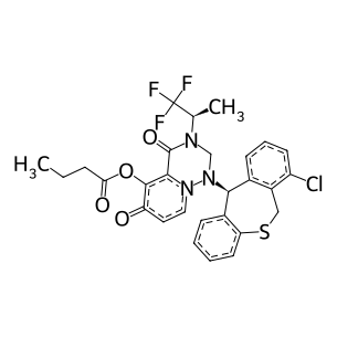 CCCC(=O)Oc1c2n(ccc1=O)N([C@@H]1c3ccccc3SCc3c(Cl)cccc31)CN([C@H](C)C(F)(F)F)C2=O